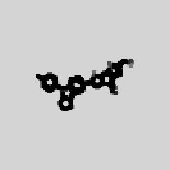 Cc1ccc(N2c3ccc(-c4cc5c(s4)-c4sc(C=O)cc4C5=O)cc3C3CCCC32)cc1